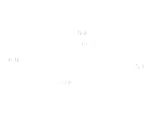 Nc1ccc(C=Cc2ccc(N)cc2S(=O)(=O)O)c(S(=O)(=O)O)c1.[NaH]